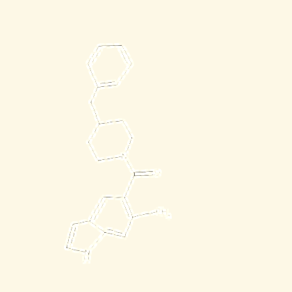 Cc1cc2[nH]ccc2cc1C(=O)N1CCC(Cc2ccccc2)CC1